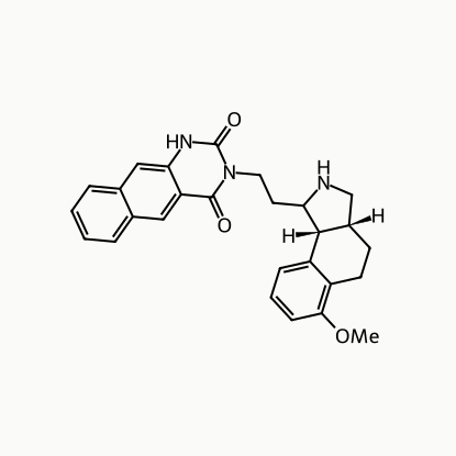 COc1cccc2c1CC[C@H]1CNC(CCn3c(=O)[nH]c4cc5ccccc5cc4c3=O)[C@@H]21